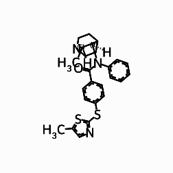 Cc1cnc(Sc2ccc(C(=O)N(c3ccccc3)[C@@H]3C4CCN(CC4)[C@H]3C)cc2)s1